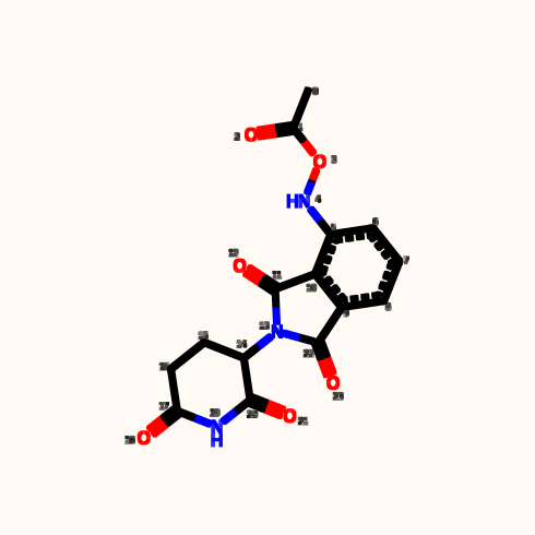 CC(=O)ONc1cccc2c1C(=O)N(C1CCC(=O)NC1=O)C2=O